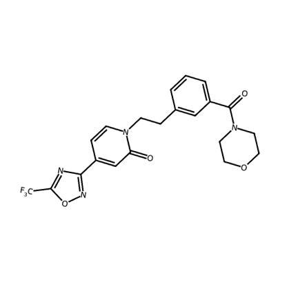 O=C(c1cccc(CCn2ccc(-c3noc(C(F)(F)F)n3)cc2=O)c1)N1CCOCC1